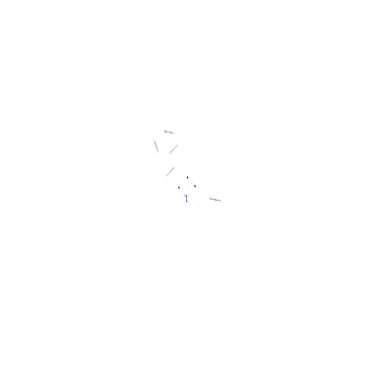 C=CC(/C(C)=N\N(C)CC(=C)c1ccccc1)C1CCCCC1